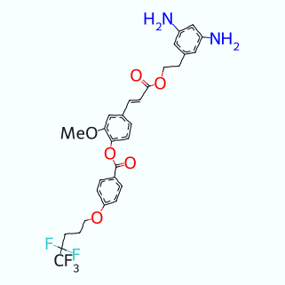 COc1cc(/C=C/C(=O)OCCc2cc(N)cc(N)c2)ccc1OC(=O)c1ccc(OCCCC(F)(F)C(F)(F)F)cc1